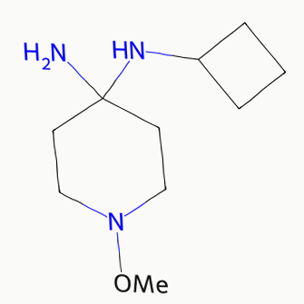 CON1CCC(N)(NC2CCC2)CC1